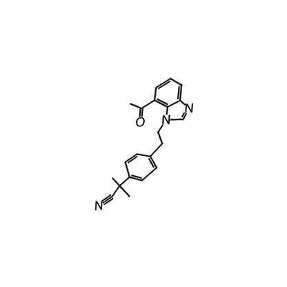 CC(=O)c1cccc2ncn(CCc3ccc(C(C)(C)C#N)cc3)c12